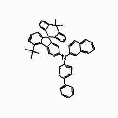 CC(C)(C)c1cccc2c1-c1ccc(N(c3ccc(-c4ccccc4)cc3)c3ccc4ccccc4c3)cc1C21c2ccccc2C(C)(C)c2ccccc21